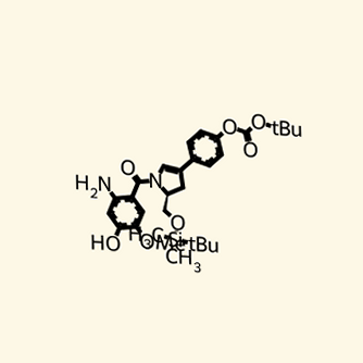 COc1cc(C(=O)N2C=C(c3ccc(OC(=O)OC(C)(C)C)cc3)C[C@H]2CO[Si](C)(C)C(C)(C)C)c(N)cc1O